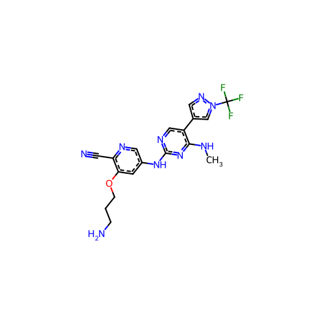 CNc1nc(Nc2cnc(C#N)c(OCCCN)c2)ncc1-c1cnn(C(F)(F)F)c1